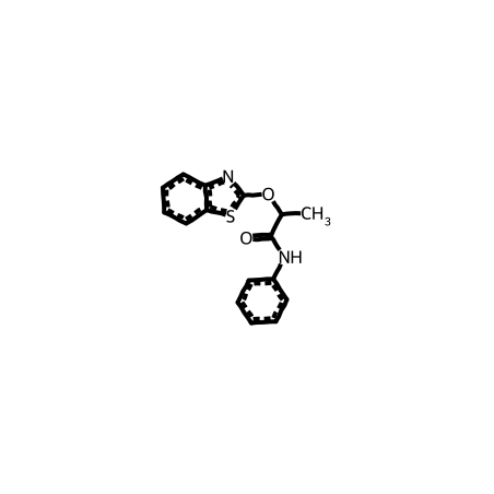 CC(Oc1nc2ccccc2s1)C(=O)Nc1ccccc1